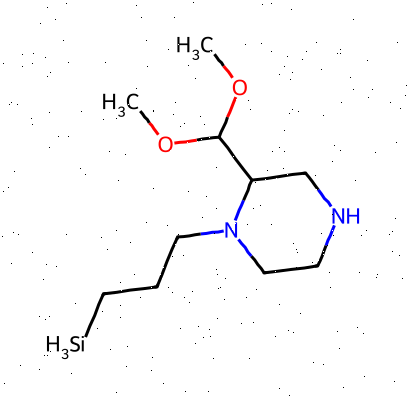 COC(OC)C1CNCCN1CCC[SiH3]